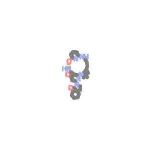 CC1(C)CC2CCCNc3cccc(n3)OSNC(=O)c3ccc(N4CCC5(CCCCC5)C4=O)nc3N1C2